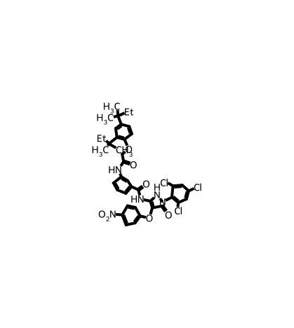 CCC(C)(C)c1ccc(OCC(=O)Nc2cccc(C(=O)Nc3[nH]n(-c4c(Cl)cc(Cl)cc4Cl)c(=O)c3Oc3ccc([N+](=O)[O-])cc3)c2)c(C(C)(C)CC)c1